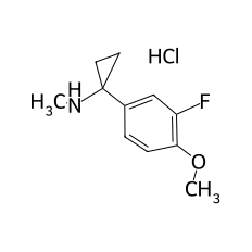 CNC1(c2ccc(OC)c(F)c2)CC1.Cl